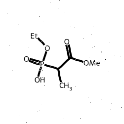 CCOP(=O)(O)C(C)C(=O)OC